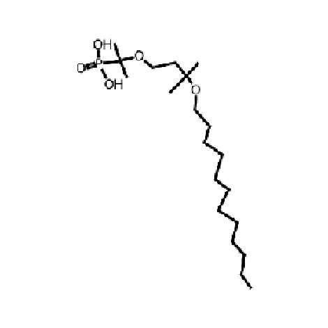 CCCCCCCCCCCCOC(C)(C)CCOC(C)(C)P(=O)(O)O